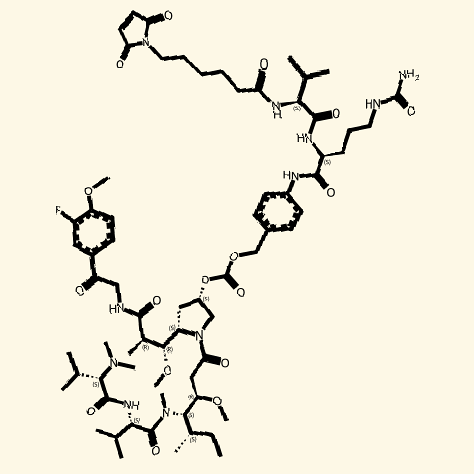 CC[C@H](C)[C@@H]([C@@H](CC(=O)N1C[C@@H](OC(=O)OCc2ccc(NC(=O)[C@H](CCCNC(N)=O)NC(=O)[C@@H](NC(=O)CCCCCN3C(=O)C=CC3=O)C(C)C)cc2)C[C@H]1[C@H](OC)[C@@H](C)C(=O)NCC(=O)c1ccc(OC)c(F)c1)OC)N(C)C(=O)[C@@H](NC(=O)[C@H](C(C)C)N(C)C)C(C)C